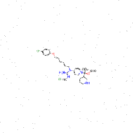 COC(OC=O)(C1CCCNC1)[n+]1ccc(N(CCCCCCOc2ccc(Cl)cc2)C(N)=NC#N)cc1.[Cl-]